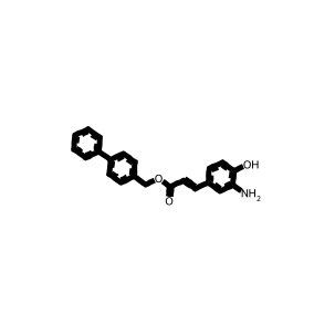 Nc1cc(C=CC(=O)OCc2ccc(-c3ccccc3)cc2)ccc1O